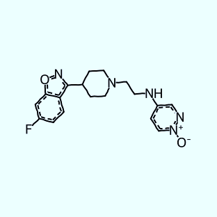 [O-][n+]1ccc(NCCN2CCC(c3noc4cc(F)ccc34)CC2)cn1